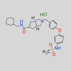 CS(=O)(=O)Nc1ccc(Oc2ccc(CN3C[C@H]4CC(C(=O)NCC5CCCCC5)C[C@H]4C3)cc2)cc1.Cl